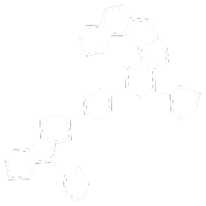 c1ccc(-c2nc(-c3ccc(-c4ccc5c6ccccc6n(-c6ccccn6)c5c4)cc3)nc3c2ccc2sc4ccc5ccccc5c4c23)cc1